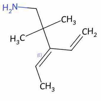 C=C/C(=C\C)C(C)(C)CN